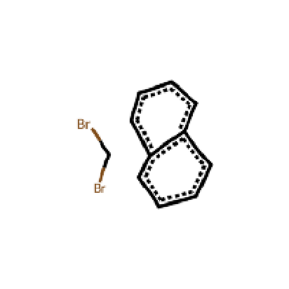 BrCBr.c1ccc2ccccc2c1